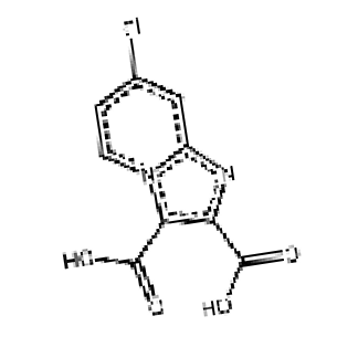 O=C(O)c1nc2cc(Cl)ccn2c1C(=O)O